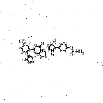 NC(=O)Oc1ccc(-c2[nH]c([C@@H]3CCc4nc(-c5cc(Cl)ccc5-n5cnnn5)cc(=O)n43)nc2Cl)cn1